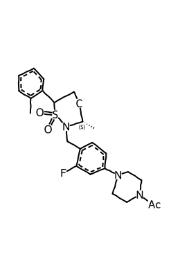 CC(=O)N1CCN(c2ccc(CN3[C@@H](C)CCC(c4ccccc4C)S3(=O)=O)c(F)c2)CC1